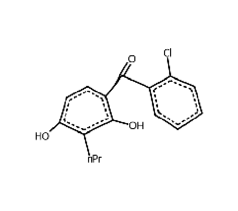 CCCc1c(O)ccc(C(=O)c2ccccc2Cl)c1O